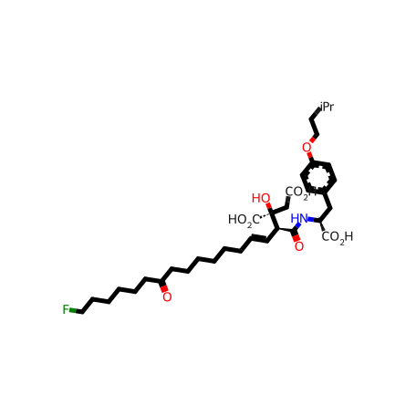 CC(C)CCOc1ccc(C[C@H](NC(=O)[C@@H](/C=C/CCCCCCC(=O)CCCCCCF)[C@@](O)(CC(=O)O)C(=O)O)C(=O)O)cc1